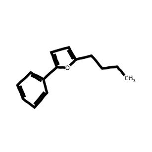 CCCCc1ccc(-c2ccccc2)o1